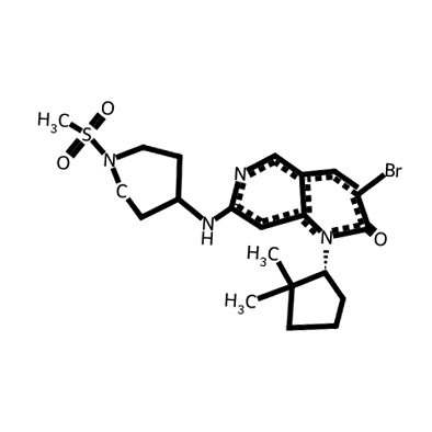 CC1(C)CCC[C@H]1n1c(=O)c(Br)cc2cnc(NC3CCN(S(C)(=O)=O)CC3)cc21